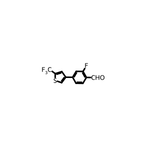 O=Cc1ccc(-c2csc(C(F)(F)F)c2)cc1F